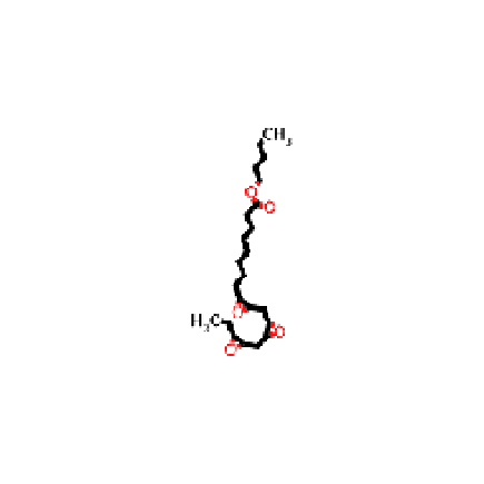 CCCCCOC(=O)CCCCCCCC1OC1CC1OC1CC1OC1CC